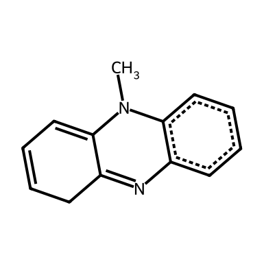 CN1C2=CC=CCC2=Nc2ccccc21